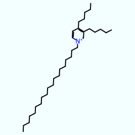 CCCCCCCCCCCCCCCCCCC[n+]1ccc(CCCCC)c(CCCCC)c1